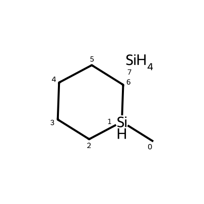 C[SiH]1CCCCC1.[SiH4]